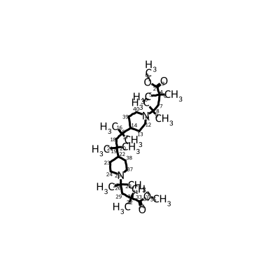 COC(=O)C(C)(C)CC(C)(C)N1CCC(C(C)(C)CC(C)(C)C2CCN(C(C)(C)CC(C)(C)C(=O)OC)CC2)CC1